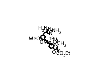 CCOC(=O)Oc1cn(C(C)(C)CC(C)(C)C)c2cc(C#Cc3cc(Cc4cnc(N)nc4N)cc(OC)c3OC)ccc2c1=O